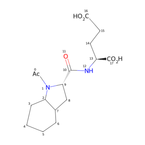 CC(=O)N1C2CCCCC2C[C@H]1C(=O)N[C@@H](CCC(=O)O)C(=O)O